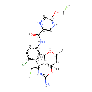 C[C@@H]1C[C@H]2OC(N)=N[C@](CF)(c3cc(NC(=O)c4cnc(OCF)cn4)ccc3Cl)[C@H]2CO1